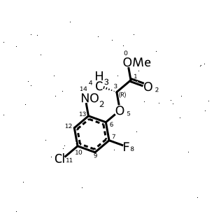 COC(=O)[C@@H](C)Oc1c(F)cc(Cl)cc1[N+](=O)[O-]